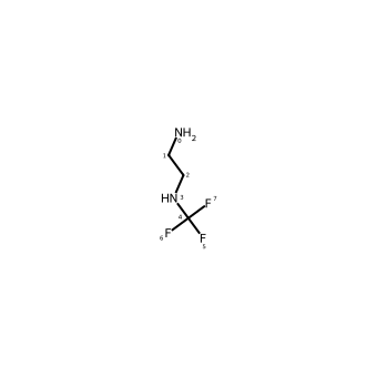 NCCNC(F)(F)F